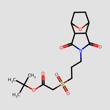 CC(C)(C)OC(=O)CS(=O)(=O)CCCN1C(=O)C2C3CCC(O3)C2C1=O